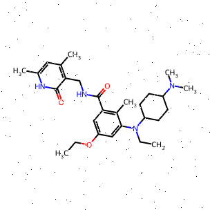 CCOc1cc(C(=O)NCc2c(C)cc(C)[nH]c2=O)c(C)c(N(CC)C2CCC(N(C)C)CC2)c1